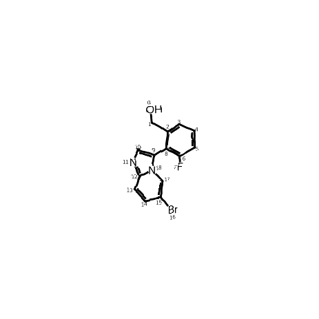 OCc1cccc(F)c1-c1cnc2ccc(Br)cn12